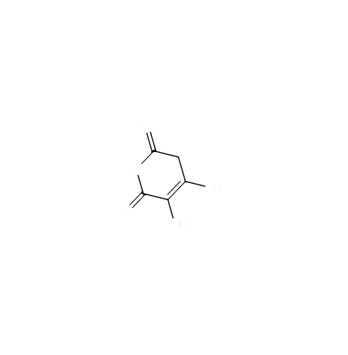 CC1=C(C)C(=O)OC(=O)C1